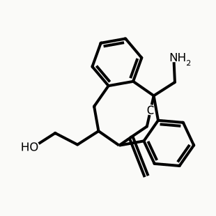 C=C1CCC2(CN)c3ccccc3CC(CCO)C1c1ccccc12